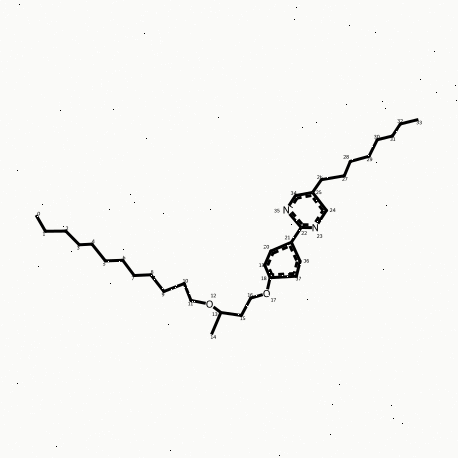 CCCCCCCCCCCCOC(C)CCOc1ccc(-c2ncc(CCCCCCCC)cn2)cc1